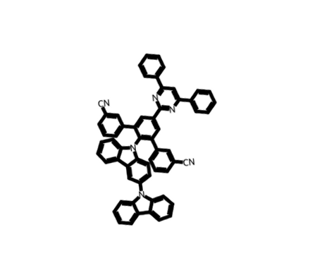 N#Cc1cccc(-c2cc(-c3nc(-c4ccccc4)cc(-c4ccccc4)n3)cc(-c3cccc(C#N)c3)c2-n2c3ccccc3c3cc(-n4c5ccccc5c5ccccc54)ccc32)c1